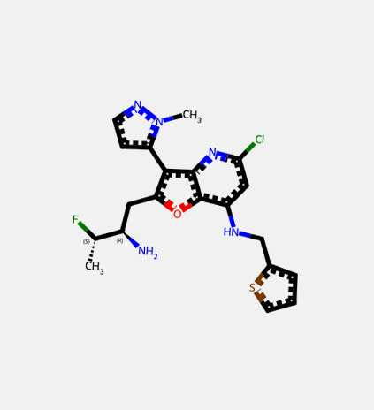 C[C@H](F)[C@H](N)Cc1oc2c(NCc3cccs3)cc(Cl)nc2c1-c1ccnn1C